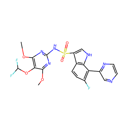 COc1nc(NS(=O)(=O)c2c[nH]c3c(-c4cnccn4)c(F)ccc23)nc(OC)c1OC(F)F